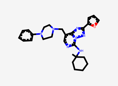 CC1(Nc2ncc(CN3CCN(c4ccccc4)CC3)c3nc(-c4ccco4)nn23)CCCCC1